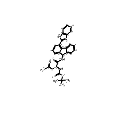 CC(C)(C)OC(=O)N[C@@H](CC(N)=O)C(=O)NC1c2ccccc2-c2c(-c3nc4cnccc4[nH]3)cccc21